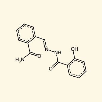 NC(=O)c1ccccc1C=NNC(=O)c1ccccc1O